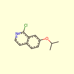 CC(C)Oc1ccc2ccnc(Cl)c2c1